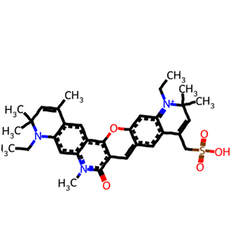 CCN1c2cc3c(cc2C(C)=CC1(C)C)c1c(c(=O)n3C)C=c2cc3c(cc2O1)=[N+](CC)C(C)(C)C=C3CS(=O)(=O)O